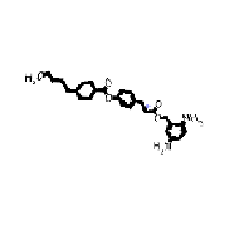 C=CCCCC1CCC(C(=O)Oc2ccc(/C=C/C(=O)OCc3cc(N)ccc3N)cc2)CC1